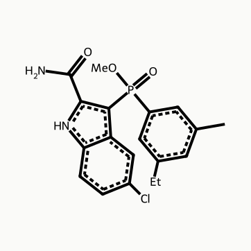 CCc1cc(C)cc(P(=O)(OC)c2c(C(N)=O)[nH]c3ccc(Cl)cc23)c1